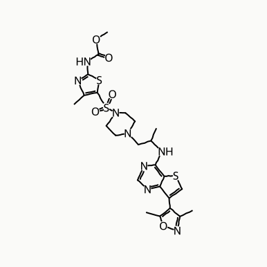 COC(=O)Nc1nc(C)c(S(=O)(=O)N2CCN(CC(C)Nc3ncnc4c(-c5c(C)noc5C)csc34)CC2)s1